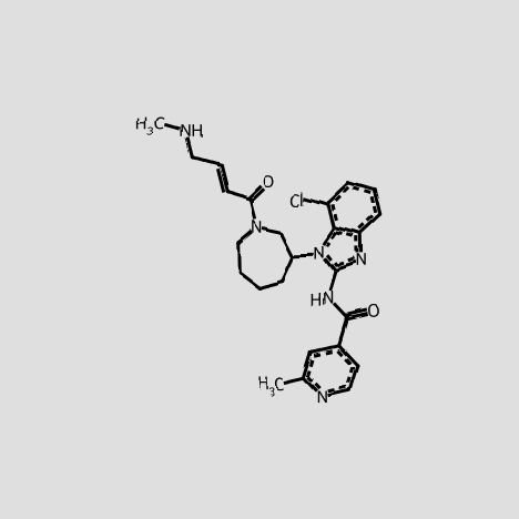 CNCC=CC(=O)N1CCCCC(n2c(NC(=O)c3ccnc(C)c3)nc3cccc(Cl)c32)C1